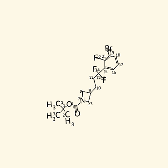 CC(C)(C)OC(=O)N1CC(CCC(F)(F)c2cccc(Br)c2F)C1